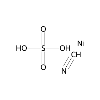 C#N.O=S(=O)(O)O.[Ni]